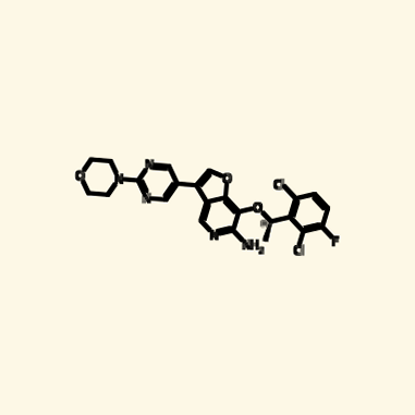 C[C@@H](Oc1c(N)ncc2c(-c3cnc(N4CCOCC4)nc3)coc12)c1c(Cl)ccc(F)c1Cl